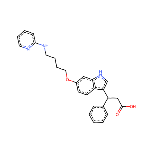 O=C(O)CC(c1ccccc1)c1c[nH]c2cc(OCCCCNc3ccccn3)ccc12